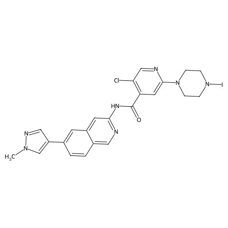 Cn1cc(-c2ccc3cnc(NC(=O)c4cc(N5CCN(I)CC5)ncc4Cl)cc3c2)cn1